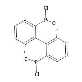 Cc1cccc(P(Cl)Cl)c1-c1c(C)cccc1P(Cl)Cl